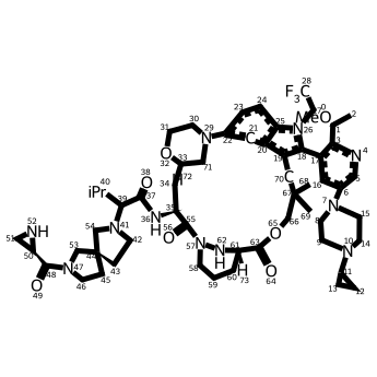 CO[C@@H](C)c1ncc(N2CCN(C3CC3)CC2)cc1-c1c2c3cc(ccc3n1CC(F)(F)F)N1CCO[C@@H](C[C@H](NC(=O)C(C(C)C)N3CC[C@]4(CCN(C(=O)[C@H]5CN5)C4)C3)C(=O)N3CCC[C@H](N3)C(=O)OCC(C)(C)C2)C1